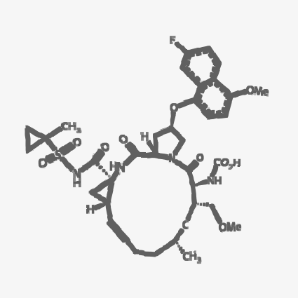 COC[C@@H]1C[C@H](C)CC/C=C\[C@@H]2C[C@@]2(C(=O)NS(=O)(=O)C2(C)CC2)NC(=O)[C@@H]2C[C@@H](Oc3ccc(OC)c4ccc(F)cc34)CN2C(=O)[C@H]1NC(=O)O